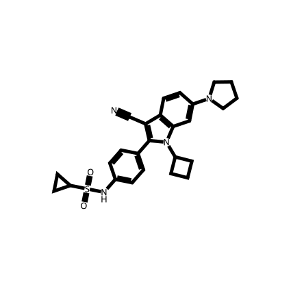 N#Cc1c(-c2ccc(NS(=O)(=O)C3CC3)cc2)n(C2CCC2)c2cc(N3CCCC3)ccc12